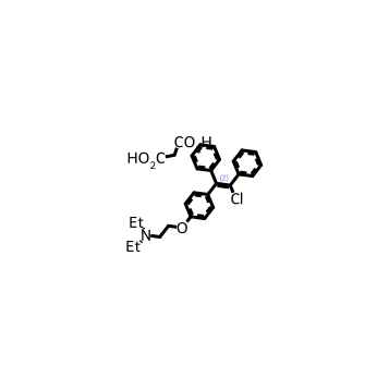 CCN(CC)CCOc1ccc(/C(=C(\Cl)c2ccccc2)c2ccccc2)cc1.O=C(O)CC(=O)O